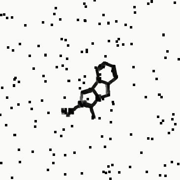 Cc1n2cc3ccccn3c2c[n+]1N